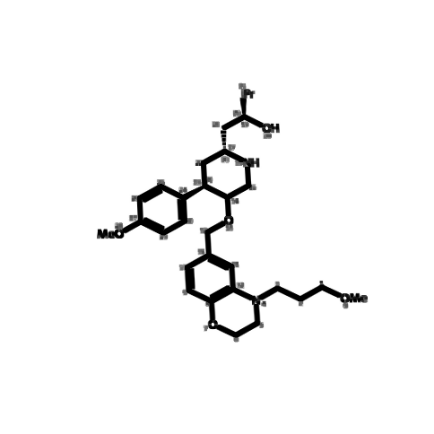 COCCCN1CCOc2ccc(COC3CN[C@@H](C[C@H](O)C(C)C)C[C@@H]3c3ccc(OC)cc3)cc21